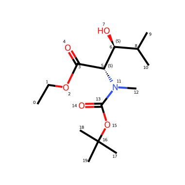 CCOC(=O)[C@H]([C@@H](O)C(C)C)N(C)C(=O)OC(C)(C)C